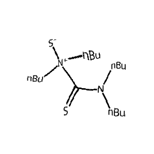 CCCCN(CCCC)C(=S)[N+]([S-])(CCCC)CCCC